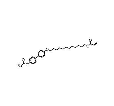 C=CC(=O)OCCCCCCCCCCCCOc1ccc(-c2ccc(OC(=O)C(C)CC)cc2)cc1